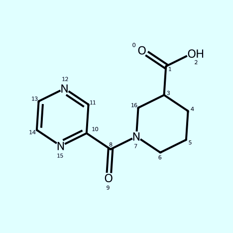 O=C(O)C1CCCN(C(=O)c2cnccn2)C1